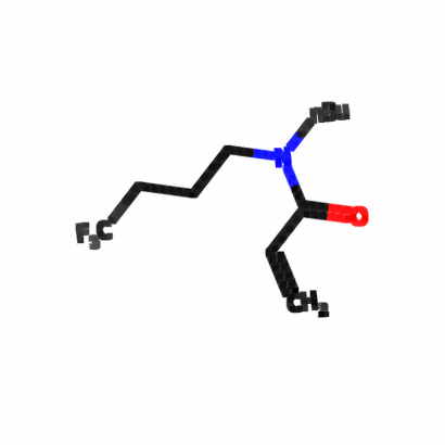 C=CC(=O)N(CCCC)CCCC(F)(F)F